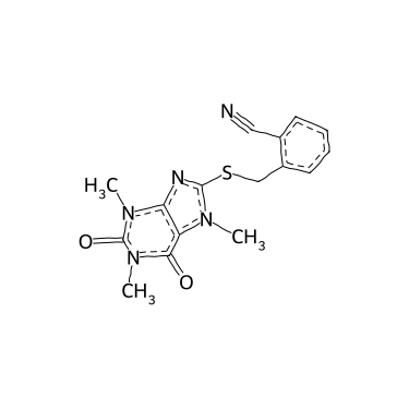 Cn1c(=O)c2c(nc(SCc3ccccc3C#N)n2C)n(C)c1=O